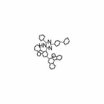 c1ccc(-c2ccc(C3=NC(c4ccccc4)NC(c4cc(-c5cc6ccccc6c6c5oc5ccccc56)cc5oc6ccccc6c45)=N3)cc2)cc1